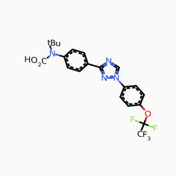 CC(C)(C)N(C(=O)O)c1ccc(-c2ncn(-c3ccc(OC(F)(F)C(F)(F)F)cc3)n2)cc1